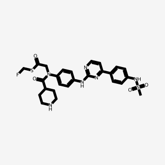 CS(=O)(=O)Nc1ccc(-c2ccnc(Nc3ccc(N(CC(=O)SCF)C(=O)C4CCNCC4)cc3)n2)cc1